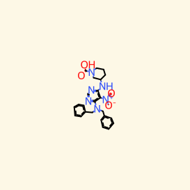 O=C(O)N1CCC[C@@H](Nc2ncnc(N(Cc3ccccc3)Cc3ccccc3)c2[N+](=O)[O-])C1